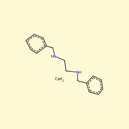 [CaH2].c1ccc(CNCCNCc2ccccc2)cc1